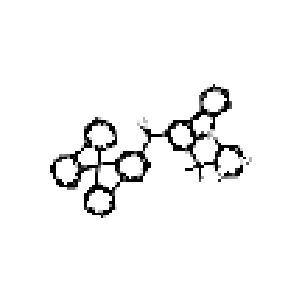 CC1(C)c2ncncc2-n2c3ccccc3c3cc(C(=O)c4ccc5c(c4)C4(c6ccccc6-c6ccccc64)c4ccccc4-5)cc1c32